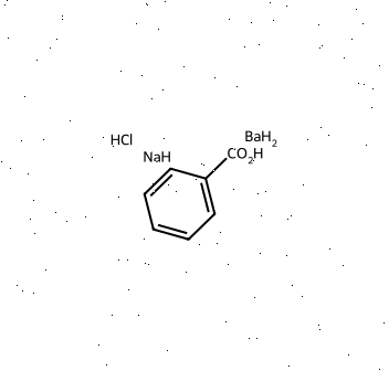 Cl.O=C(O)c1ccccc1.[BaH2].[NaH]